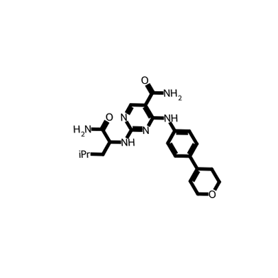 CC(C)CC(Nc1ncc(C(N)=O)c(Nc2ccc(C3=CCOCC3)cc2)n1)C(N)=O